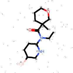 BC1CCC(N(CC)C(=O)C2(C)CCCOC2)NC1